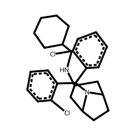 Clc1ccccc1C(c1ccccc1Cl)N1C2CCC1CC(NCC1CCCCC1)C2